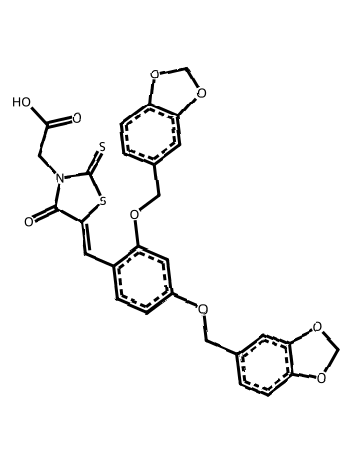 O=C(O)CN1C(=O)C(=Cc2ccc(OCc3ccc4c(c3)OCO4)cc2OCc2ccc3c(c2)OCO3)SC1=S